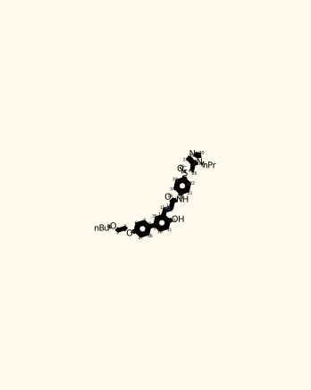 CCCCOCCOc1ccc(-c2ccc(O)c(/C=C/C(=O)Nc3ccc([S@+]([O-])Cc4cncn4CCC)cc3)c2)cc1